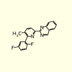 Cc1ccc(-c2ncc3ccccc3n2)nc1-c1cc(F)ccc1F